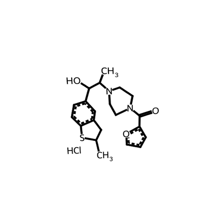 CC1Cc2cc(C(O)C(C)N3CCN(C(=O)c4ccco4)CC3)ccc2S1.Cl